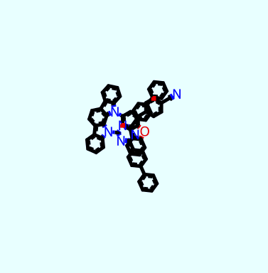 N#Cc1ccc(-c2cc(-n3c4ccccc4c4ccc5c6ccccc6n(-c6nc(-c7ccc(-c8ccccc8)cc7)nc(-c7ccc(-c8ccccc8)cc7)n6)c5c43)cc3c2oc2ccccc23)cc1